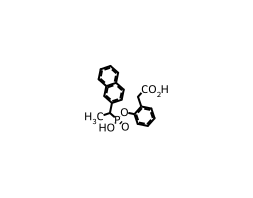 CC(c1ccc2ccccc2c1)P(=O)(O)Oc1ccccc1CC(=O)O